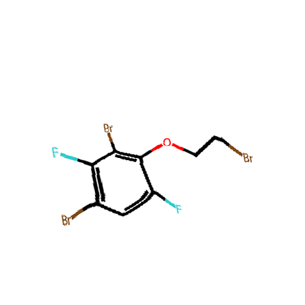 Fc1cc(Br)c(F)c(Br)c1OCCBr